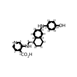 O=C(O)c1ccncc1NC[C@@H]1CCCc2cc(Nc3ccc(O)cc3)ccc21